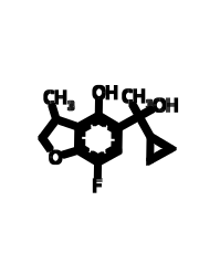 CC1COc2c(F)cc(C(C)(O)C3CC3)c(O)c21